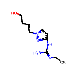 N/C(=N/CC(F)(F)F)Nc1ccn(CCCCO)n1